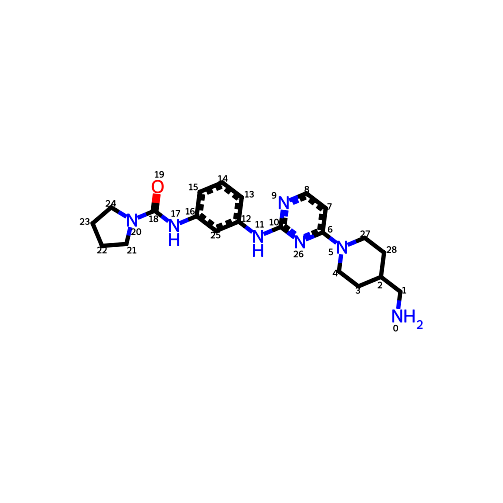 NCC1CCN(c2ccnc(Nc3cccc(NC(=O)N4CCCC4)c3)n2)CC1